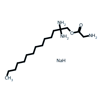 CCCCCCCCCCCCC(N)(N)COC(=O)CN.[NaH]